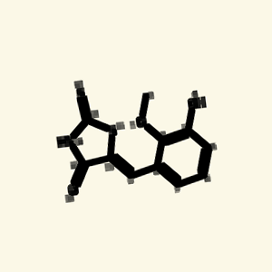 COc1c(O)cccc1/C=C1\SC(=S)NC1=O